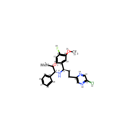 CNC(=O)[C@H](N[C@H](CCc1cnc(Cl)cn1)c1ccc(F)c(OC(F)(F)F)c1)c1ccccc1